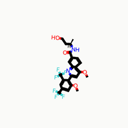 COc1cc(C(F)(F)F)cc(C(F)(F)F)c1-c1cc(OC)c2ccc(C(=O)N[C@H](C)CCO)cc2n1